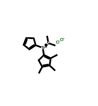 CC1=C(C)C(C)=[C]([Ti+2]([C]2=CC=CC2)=[Si](C)C)C1.[Cl-].[Cl-]